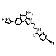 N#Cc1ccc(C(=O)NCCn2cc3c(n2)c(N)nc2cc(-c4cc[nH]n4)ccc23)nc1